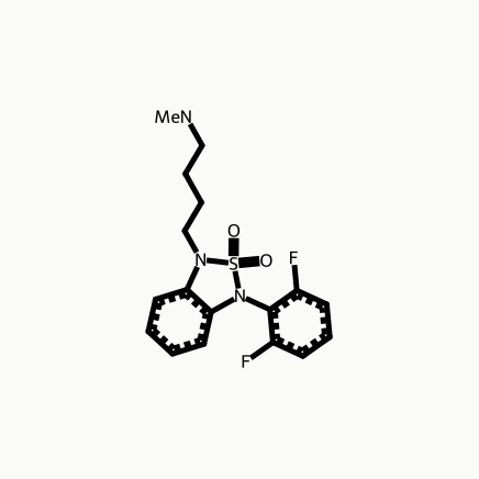 CNCCCCN1c2ccccc2N(c2c(F)cccc2F)S1(=O)=O